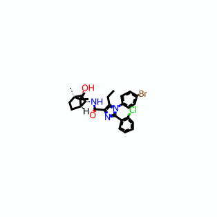 CCc1c(C(=O)N[C@@H]2[C@H]3CC[C@@](C)([C@@H]2O)C3(C)C)nc(-c2ccccc2Cl)n1-c1ccc(Br)cc1